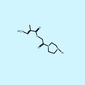 CC(=O)N1CCN(C(=O)COC(=O)C(C)=CC(=O)O)CC1